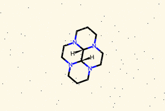 C1CN2CCN3CCCN4CCN(C1)[C@H]2[C@@H]43